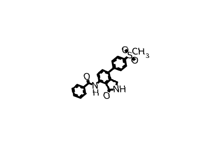 CS(=O)(=O)c1ccc(-c2ccc(NC(=O)c3ccccc3)c3c2CNC3=O)cc1